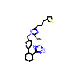 CCCCc1nc(CCCc2ccsc2)nn1Cc1ccc(-c2ccccc2-c2nnn[nH]2)cc1